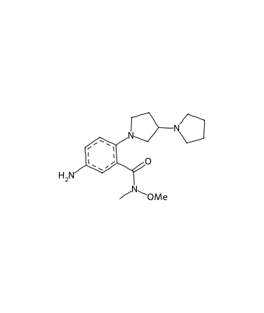 CON(C)C(=O)c1cc(N)ccc1N1CCC(N2CCCC2)C1